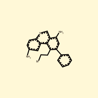 Nc1ccc2ncc3c(N)cc(-c4ccccc4)c(CCBr)c3c2c1